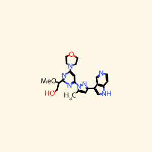 COC(CO)c1nc(N2CCOCC2)cc(-n2nc(-c3c[nH]c4ccncc34)cc2C)n1